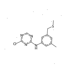 CSCc1cc(C)cc(Nc2ncnc(Cl)n2)c1